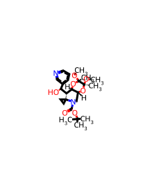 CO[C@@]1(C)O[C@@H]2[C@@H]([C@@H](O)c3cccnc3)C3(CC3)N(C(=O)OC(C)(C)C)C[C@H]2O[C@]1(C)OC